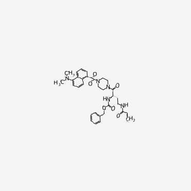 C=CC(=O)NCC[C@H](NC(=O)OCc1ccccc1)C(=O)N1CCN(S(=O)(=O)c2cccc3c(N(C)C)cccc23)CC1